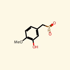 COc1ccc(C[SH](=O)=O)cc1O